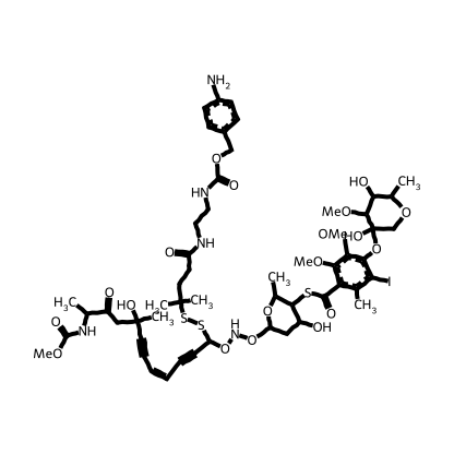 COC(=O)NC(C)C(=O)CC(C)(O)C#C/C=C\C#CC(ONOC1CC(O)C(SC(=O)c2c(C)c(I)c(OC3(O)COC(C)C(O)C3OC)c(OC)c2OC)C(C)O1)SSC(C)(C)CCC(=O)NCCNC(=O)OCc1ccc(N)cc1